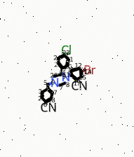 N#Cc1ccc(CN2CCN(c3ccc(Br)cc3C#N)[C@H](c3ccc(Cl)cc3)C2)cc1